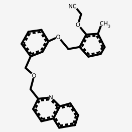 Cc1cccc(COc2cccc(COCc3ccc4ccccc4n3)c2)c1OCC#N